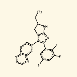 OCC1Cn2c(nc(-c3cc(F)cc(F)c3F)c2-c2ccc3nccnc3c2)N1